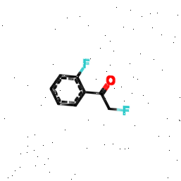 O=C(CF)c1ccccc1F